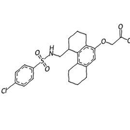 O=C(O)COc1cc2c(c3c1CCCC3CNS(=O)(=O)c1ccc(Cl)cc1)CCCC2